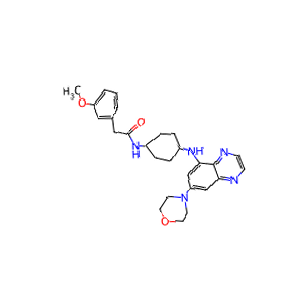 COc1cccc(CC(=O)NC2CCC(Nc3cc(N4CCOCC4)cc4nccnc34)CC2)c1